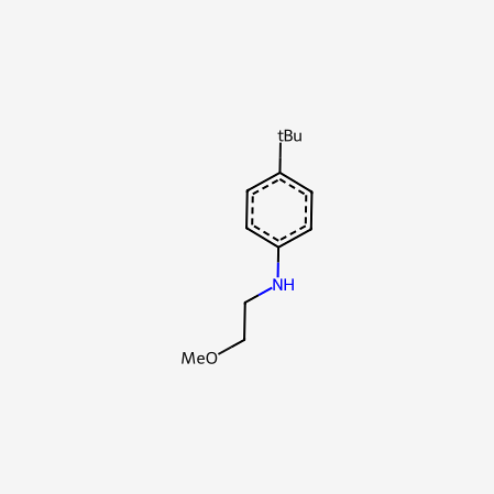 COCCNc1ccc(C(C)(C)C)cc1